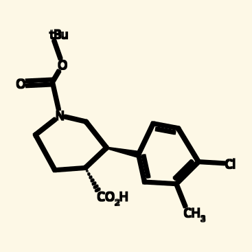 Cc1cc([C@@H]2CN(C(=O)OC(C)(C)C)CC[C@H]2C(=O)O)ccc1Cl